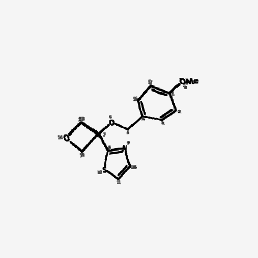 COc1ccc(COC2(c3nccs3)COC2)cc1